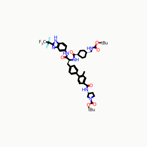 Cc1cc(C(=O)N[C@@H]2CCN(C(=O)OC(C)(C)C)C2)ccc1-c1ccc(C[C@H](NC(=O)[C@H]2CC[C@H](CNC(=O)OC(C)(C)C)CC2)C(=O)Nc2ccc3[nH]c(C(F)(F)C(F)(F)F)nc3c2)cc1